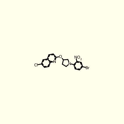 O=[N+]([O-])c1cc(Br)ccc1N1CCC(Oc2ccc3cc(Cl)ccc3n2)C1